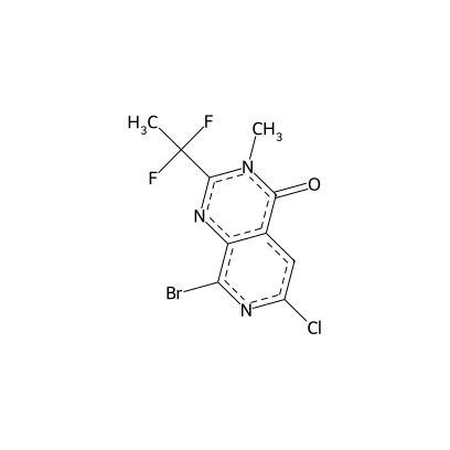 Cn1c(C(C)(F)F)nc2c(Br)nc(Cl)cc2c1=O